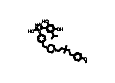 COc1ccc(CSC(C)(C)CCN2CCN(Cc3ccc(-n4c(O)nnc4-c4cc(C(C)C)c(O)cc4O)cc3)CC2)cc1